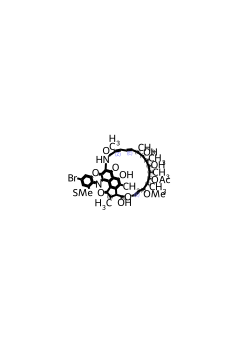 CO[C@H]1/C=C/O[C@@H](O)C2c3c(C)c(O)c4c(=O)c(c5oc6cc(Br)cc(SC)c6nc-5c4c3C(=O)[C@@H]2C)NC(=O)/C(C)=C\C=C\[C@H](C)[C@H](O)[C@@H](C)[C@@H](O)[C@@H](C)[C@H](OC(C)=O)[C@@H]1C